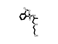 CC(CNCCCO)NS(=O)(=O)c1ccccc1[N+](=O)[O-]